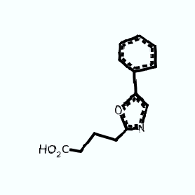 O=C(O)CCCc1ncc(-c2ccccc2)o1